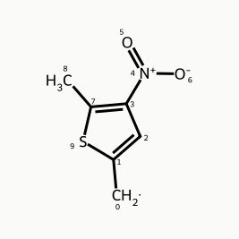 [CH2]c1cc([N+](=O)[O-])c(C)s1